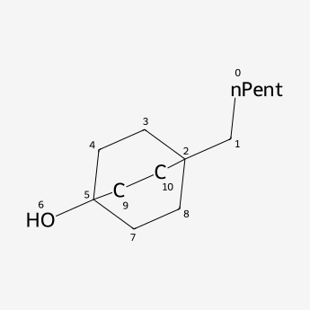 CCCCCCC12CCC(O)(CC1)CC2